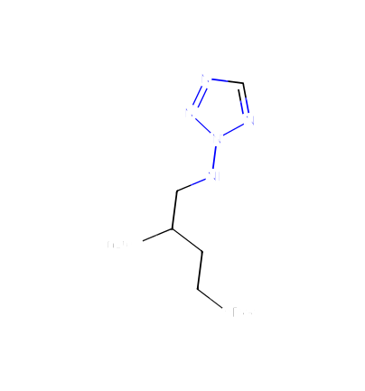 CCCCCCCCCCCCC(CCCCCCCCCC)CNn1ncnn1